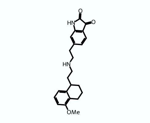 COc1cccc2c1CCCC2CCNCCc1ccc2c(c1)NC(=O)C2=O